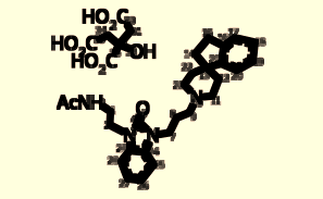 CC(=O)NCCn1c(=O)n(CCCN2CCC3(CCc4ccccc43)CC2)c2ccccc21.O=C(O)CC(O)(CC(=O)O)C(=O)O